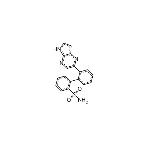 NS(=O)(=O)c1ccccc1-c1ccccc1-c1cnc2[nH]ccc2n1